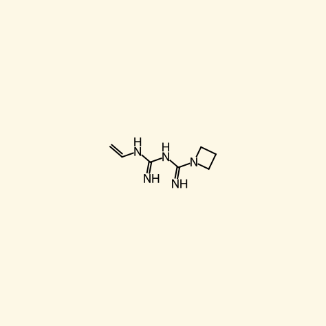 C=CNC(=N)NC(=N)N1CCC1